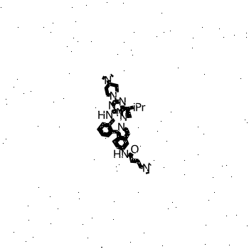 CC(C)c1cnn2c(NCc3ccccc3-c3nccc4cc(NC(=O)/C=C/CN(C)C)ccc34)nc(N3CCC(N(C)C)CC3)nc12